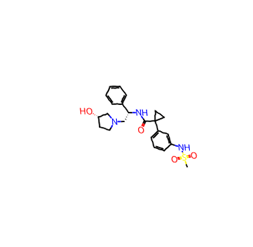 CS(=O)(=O)Nc1cccc(C2(C(=O)N[C@H](CN3CC[C@H](O)C3)c3ccccc3)CC2)c1